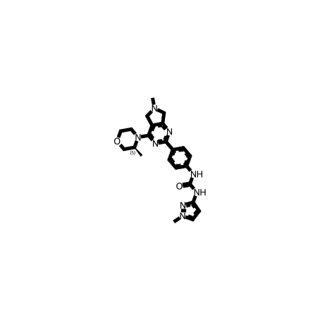 C[C@H]1COCCN1c1nc(-c2ccc(NC(=O)Nc3ccn(C)n3)cc2)nc2c1CN(C)C2